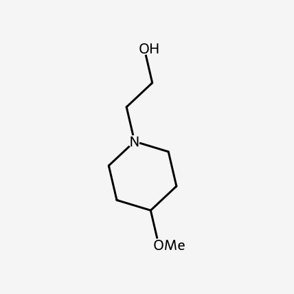 COC1CCN(CCO)CC1